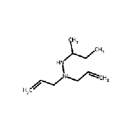 C=CC[N+](CC=C)NC(C)CC